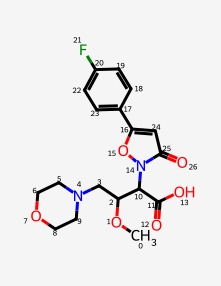 COC(CN1CCOCC1)C(C(=O)O)n1oc(-c2ccc(F)cc2)cc1=O